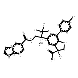 C[C@]1(C(N)=O)COc2c1cc([C@@](O)(CNC(=O)c1cnc3nccn3c1)C(F)(F)F)nc2-c1ccc(F)cc1